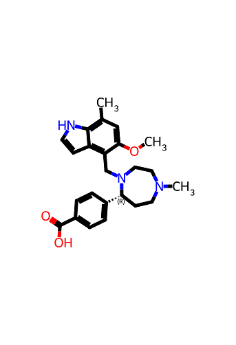 COc1cc(C)c2[nH]ccc2c1CN1CCN(C)CC[C@@H]1c1ccc(C(=O)O)cc1